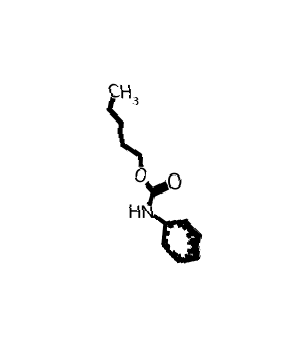 CCCCCOC(=O)Nc1ccccc1